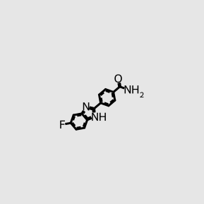 NC(=O)c1ccc(-c2nc3cc(F)ccc3[nH]2)cc1